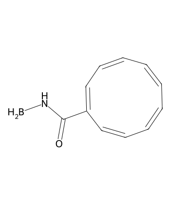 BNC(=O)c1ccccccccc1